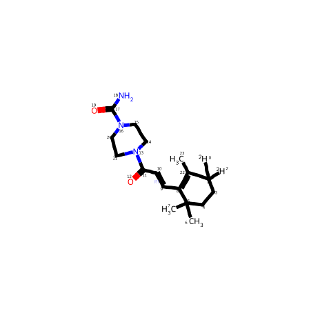 [2H]C1([2H])CCC(C)(C)C(/C=C/C(=O)N2CCN(C(N)=O)CC2)=C1C